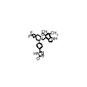 COc1cc(C)c2[nH]ccc2c1CN1CCC2(C[C@H]1c1ccc(-c3noc(=O)[nH]3)cc1)CC(F)(F)C2